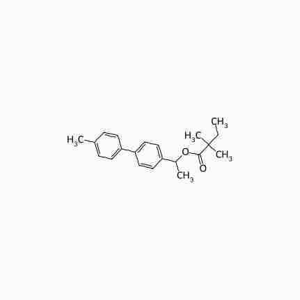 CCC(C)(C)C(=O)OC(C)c1ccc(-c2ccc(C)cc2)cc1